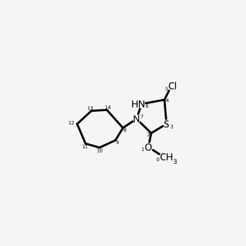 COC1SC(Cl)NN1C1CCCCCC1